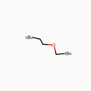 [CH2]C(C)(C)COCCCCCC